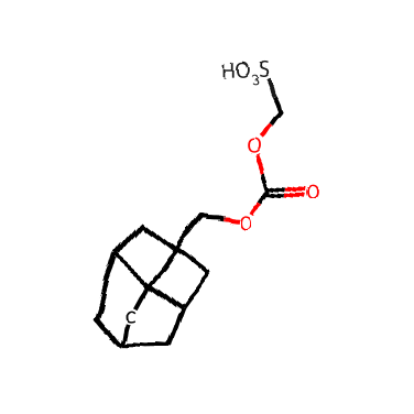 O=C(OCC12CC3CC4CC(C1)C32C4)OCS(=O)(=O)O